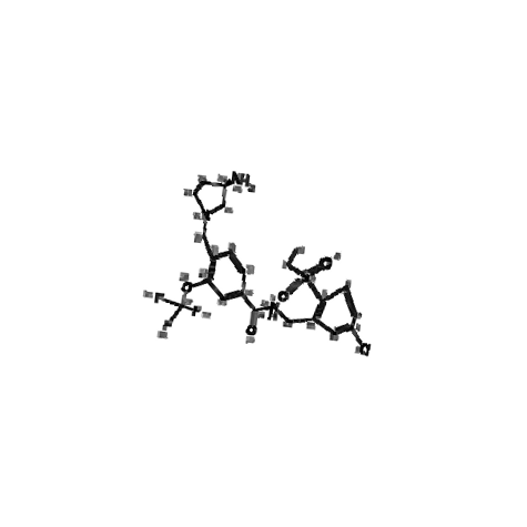 CCS(=O)(=O)c1ccc(Cl)cc1CNC(=O)c1ccc(CN2CC[C@@H](N)C2)c(OC(F)(F)F)c1